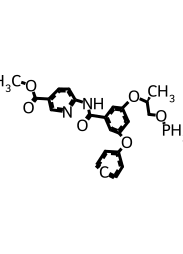 COC(=O)c1ccc(NC(=O)c2cc(Oc3ccccc3)cc(O[C@@H](C)COP)c2)nc1